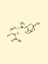 CN(c1ncc(F)c(C(=O)O)n1)C1C2CC3CC1CC(O)(C3)C2